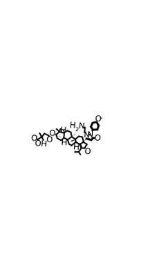 COc1ccc(-n2c(=O)cc([C@@]34CC[C@]5(C)[C@H](CC[C@@H]6[C@@]7(C)CC[C@H](OC(=O)CC(C)(C)C(=O)O)C(C)(C)[C@@H]7CC[C@]65C)C3=C(C(C)C)C(=O)C4)n2CCN)cc1